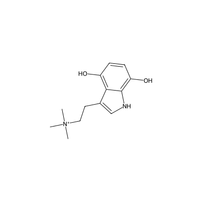 C[N+](C)(C)CCc1c[nH]c2c(O)ccc(O)c12